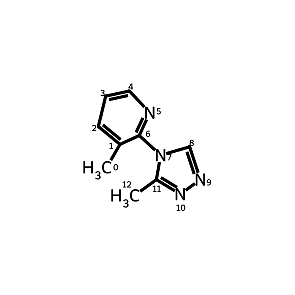 Cc1cccnc1-n1cnnc1C